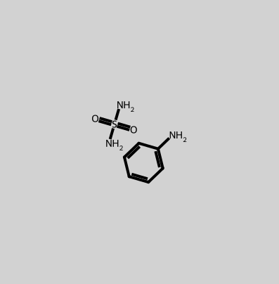 NS(N)(=O)=O.Nc1ccccc1